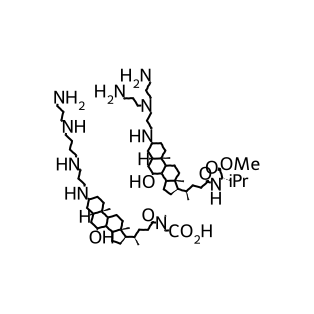 COC(=O)[C@@H](NC(=O)CC[C@@H](C)[C@H]1CCC2C3C(CC[C@@]21C)[C@@]1(C)CC[C@H](NCCCN(CCCN)CCCN)C[C@H]1C[C@H]3O)C(C)C.C[C@H](CCC(=O)N(C)CC(=O)O)[C@H]1CCC2C3C(CC[C@@]21C)[C@@]1(C)CC[C@H](NCCCNCCCCNCCCN)C[C@H]1C[C@H]3O